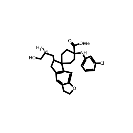 COC(=O)C1(Nc2cccc(Cl)c2)CCC2(CC1)c1cc3c(cc1CC2C[C@@H](C)CO)CCO3